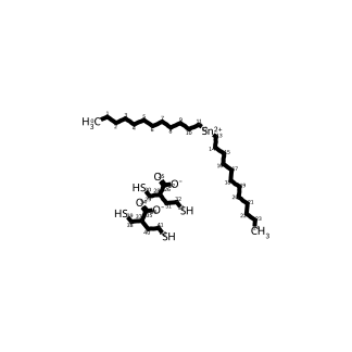 CCCCCCCCCCC[CH2][Sn+2][CH2]CCCCCCCCCCC.O=C([O-])C(CS)CCS.O=C([O-])C(CS)CCS